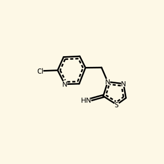 N=c1scnn1Cc1ccc(Cl)nc1